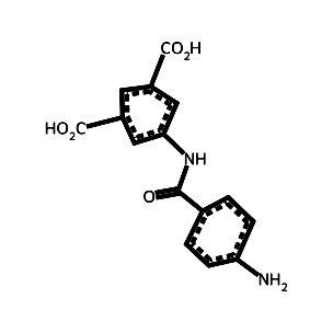 Nc1ccc(C(=O)Nc2cc(C(=O)O)cc(C(=O)O)c2)cc1